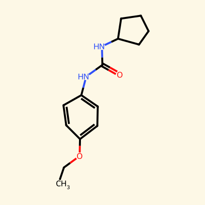 CCOc1ccc(NC(=O)NC2CCCC2)cc1